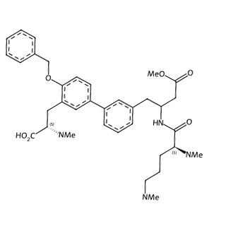 CNCCC[C@H](NC)C(=O)NC(CC(=O)OC)Cc1cccc(-c2ccc(OCc3ccccc3)c(C[C@H](NC)C(=O)O)c2)c1